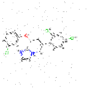 Clc1cccc(OCCC(Cn2ccnc2)c2ccc(Cl)cc2Cl)c1